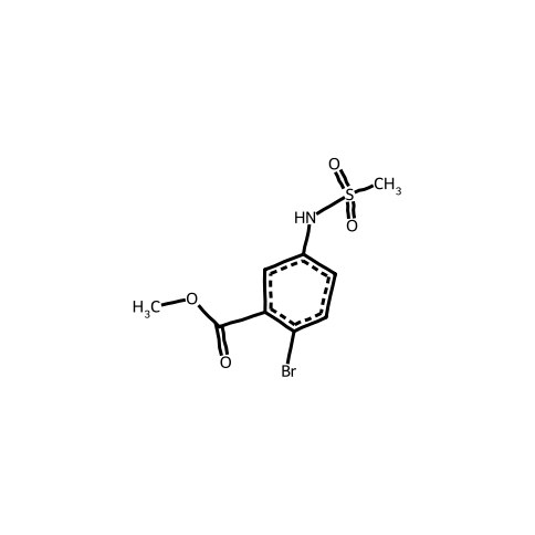 COC(=O)c1cc(NS(C)(=O)=O)ccc1Br